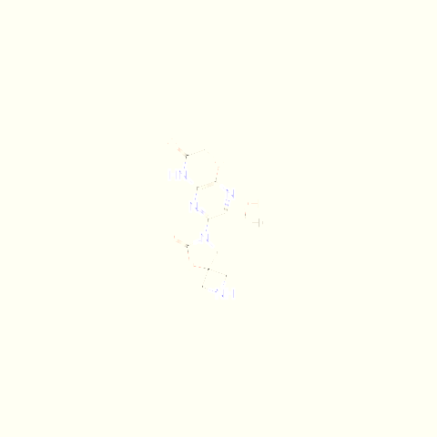 O=C1COc2ncc(N3CC4(CNC4)OC3=O)nc2N1.O=CO